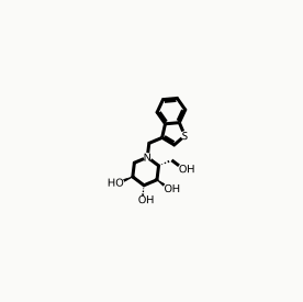 OC[C@@H]1[C@@H](O)[C@H](O)[C@@H](O)CN1Cc1csc2ccccc12